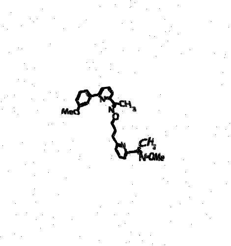 CO/N=C(\C)c1cccc(CCCO/N=C(\C)c2cccc(-c3cccc(OC)c3)n2)n1